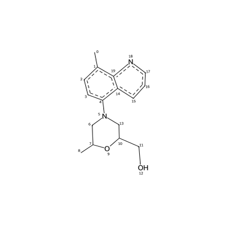 Cc1ccc(N2CC(C)OC(CO)C2)c2cccnc12